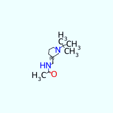 CC(=O)NC[C@H]1CCCN(C(C)(C)C)C1